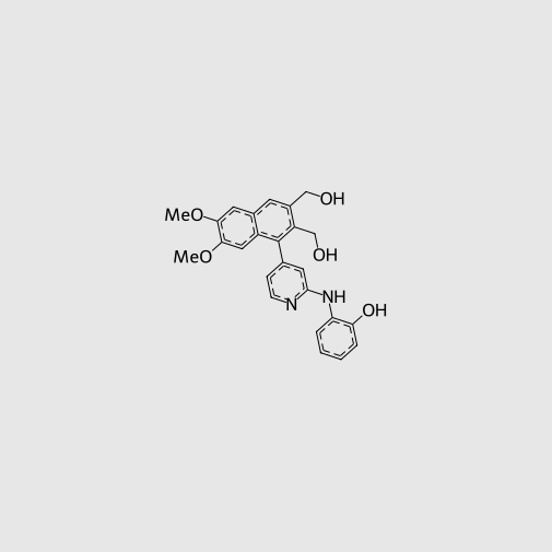 COc1cc2cc(CO)c(CO)c(-c3ccnc(Nc4ccccc4O)c3)c2cc1OC